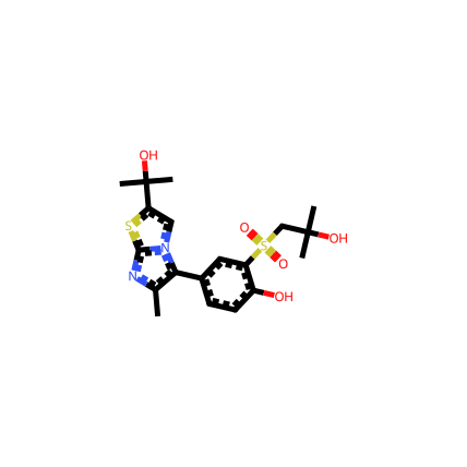 Cc1nc2sc(C(C)(C)O)cn2c1-c1ccc(O)c(S(=O)(=O)CC(C)(C)O)c1